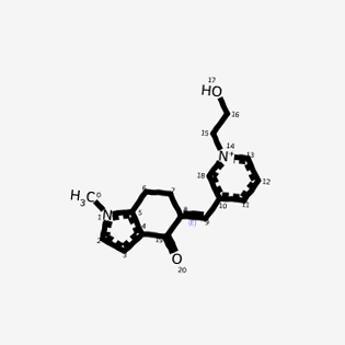 Cn1ccc2c1CC/C(=C\c1ccc[n+](CCO)c1)C2=O